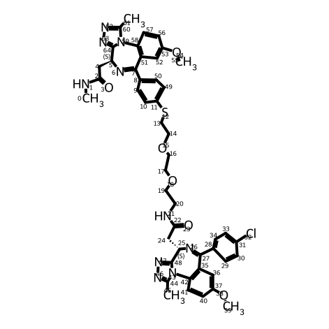 CNC(=O)C[C@@H]1N=C(c2ccc(SCCOCCOCCNC(=O)C[C@@H]3N=C(c4ccc(Cl)cc4)c4cc(OC)ccc4-n4c(C)nnc43)cc2)c2cc(OC)ccc2-n2c(C)nnc21